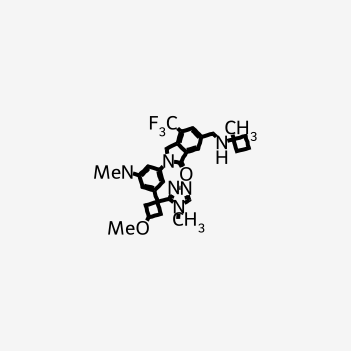 CNc1cc(N2Cc3c(cc(CNC4(C)CCC4)cc3C(F)(F)F)C2=O)cc(C2(c3nncn3C)CC(OC)C2)c1